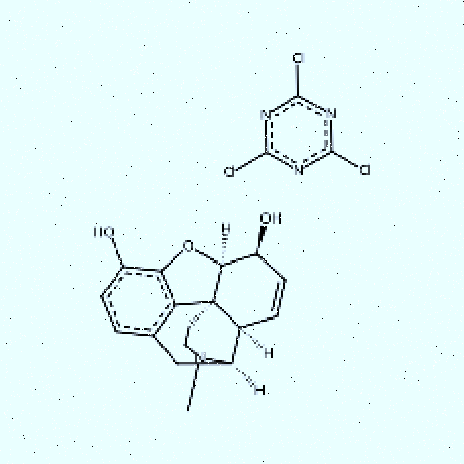 CN1CC[C@]23c4c5ccc(O)c4O[C@H]2[C@@H](O)C=C[C@H]3[C@H]1C5.Clc1nc(Cl)nc(Cl)n1